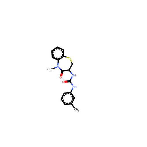 Cc1cccc(NC(=O)NC2CSc3ccccc3N(C)C2=O)c1